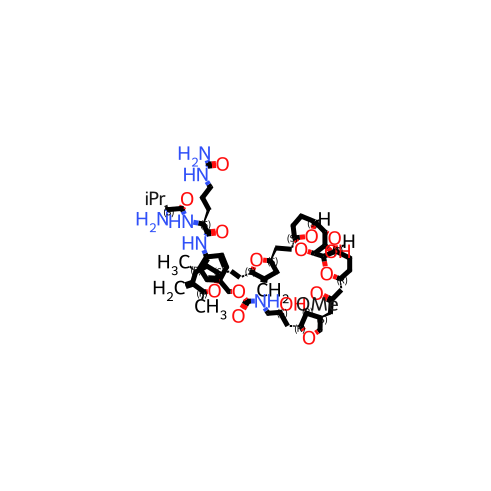 C=C1C[C@H](CC[C@]23CC[C@H](O2)C2O[C@H]4CC[C@H](CC(=O)C[C@H]5CO[C@H](C[C@H](O)CNC(=O)OCc6ccc(NC(=O)[C@H](CCCNC(N)=O)NC(=O)[C@@H](N)C(C)C)cc6)[C@@H]5OC)OC4C(O3)C2O)O[C@H]1CC[C@H]1C[C@@H](C)C(=C)[C@@H](C)O1